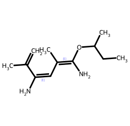 C=C(C)/C(N)=C\C(C)=C(/N)OC(C)CC